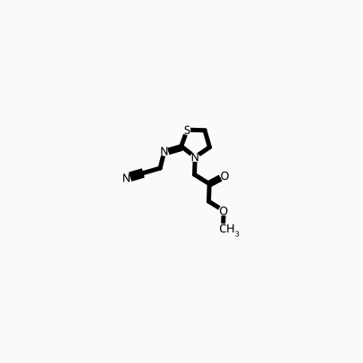 COCC(=O)CN1CCS/C1=N/CC#N